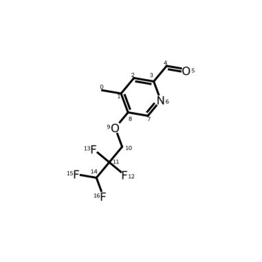 Cc1cc(C=O)ncc1OCC(F)(F)C(F)F